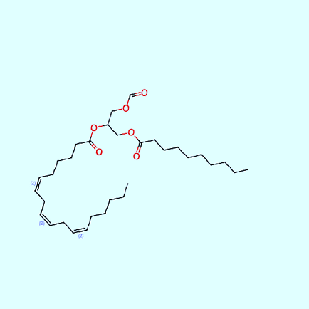 CCCCC/C=C\C/C=C\C/C=C\CCCCC(=O)OC(COC=O)COC(=O)CCCCCCCCC